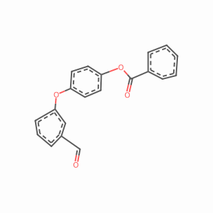 O=Cc1cccc(Oc2ccc(OC(=O)c3ccccc3)cc2)c1